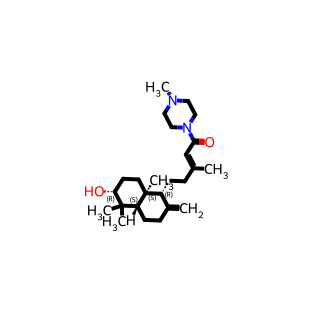 C=C1CC[C@@H]2C(C)(C)[C@H](O)CC[C@@]2(C)[C@@H]1CCC(C)=CC(=O)N1CCN(C)CC1